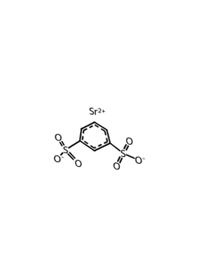 O=S(=O)([O-])c1cccc(S(=O)(=O)[O-])c1.[Sr+2]